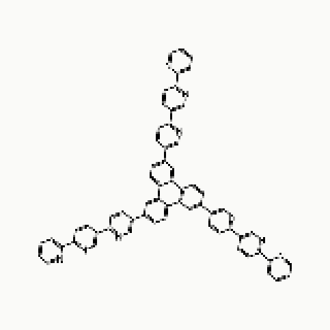 c1ccc(-c2ccc(-c3ccc(-c4ccc5c(c4)c4ccc(-c6ccc(-c7ccc(-c8ccccn8)nc7)nc6)cc4c4ccc(-c6ccc(-c7ccc(-c8ccccn8)nc7)nc6)cc54)cn3)cn2)nc1